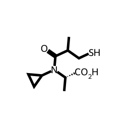 CC(CS)C(=O)N(C1CC1)[C@@H](C)C(=O)O